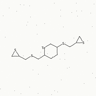 C1CC(CSCC2CS2)[Te]CC1SCC1CS1